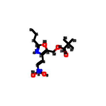 CCCc1nc(/C=C/[N+](=O)[O-])c(COC(=O)C(C)(C)C)o1